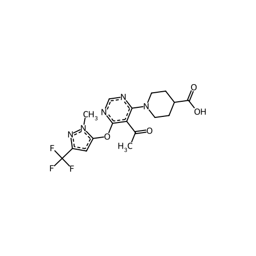 CC(=O)c1c(Oc2cc(C(F)(F)F)nn2C)ncnc1N1CCC(C(=O)O)CC1